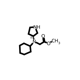 COC(=O)CN(C1CCCCC1)[C@H]1CCNC1